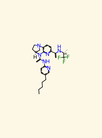 C=C(N[C@H](C)C(F)(F)F)c1ccc2c(n1)N(C(=C)Nc1ccc(CCCCC)cn1)[C@H]1CCN2C1